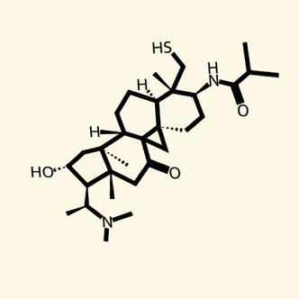 CC(C)C(=O)N[C@H]1CC[C@]23CC24C(=O)C[C@]2(C)[C@@H]([C@H](C)N(C)C)[C@H](O)C[C@@]2(C)[C@@H]4CC[C@H]3[C@]1(C)CS